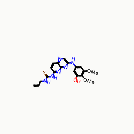 C=CCNC(=S)Nc1ccc2ncc(Nc3cc(O)c(OC)c(OC)c3)nc2n1